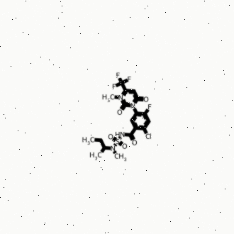 CCC(C)N(C)S(=O)(=O)NC(=O)c1cc(-n2c(=O)cc(C(F)(F)F)n(C)c2=O)c(F)cc1Cl